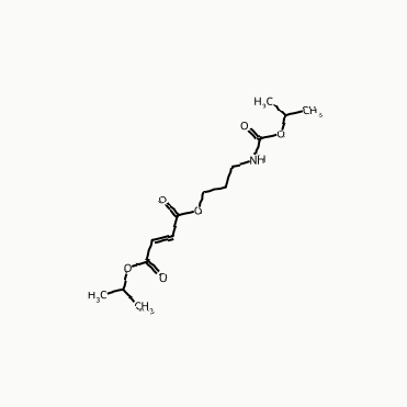 CC(C)OC(=O)/C=C/C(=O)OCCCNC(=O)OC(C)C